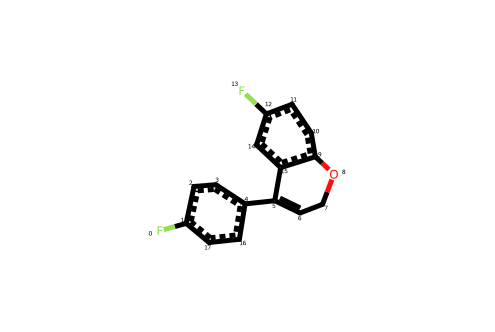 Fc1ccc(C2=[C]COc3ccc(F)cc32)cc1